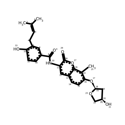 CC(C)=CCc1cc(C(=O)Nc2cc3ccc(O[C@H]4C[C@@H](O)CO4)c(C)c3oc2=O)ccc1O